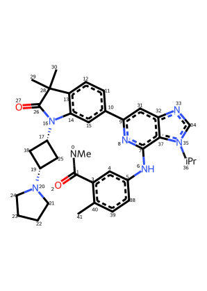 CNC(=O)c1cc(Nc2nc(-c3ccc4c(c3)N([C@H]3C[C@@H](N5CCCC5)C3)C(=O)C4(C)C)cc3ncn(C(C)C)c23)ccc1C